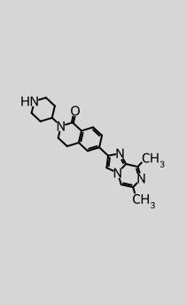 Cc1cn2cc(-c3ccc4c(c3)CCN(C3CCNCC3)C4=O)nc2c(C)n1